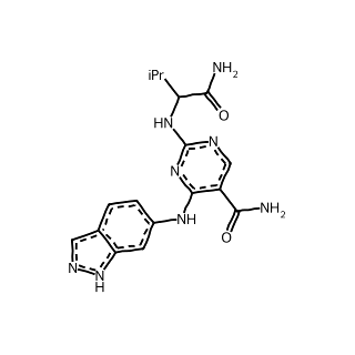 CC(C)C(Nc1ncc(C(N)=O)c(Nc2ccc3cn[nH]c3c2)n1)C(N)=O